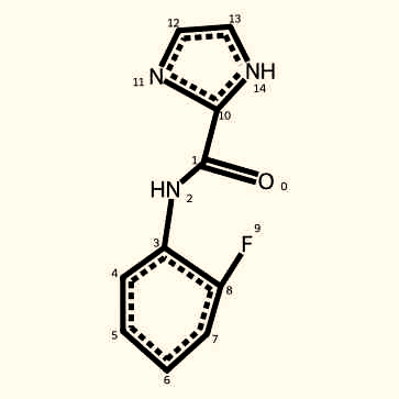 O=C(Nc1ccccc1F)c1ncc[nH]1